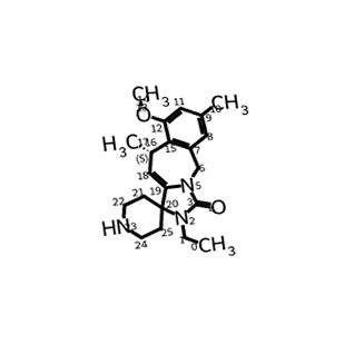 CCN1C(=O)N2Cc3cc(C)cc(OC)c3[C@@H](C)C=C2C12CCNCC2